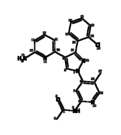 CC(=O)Nc1cc(-n2cc(-c3cccc(N)n3)c(-c3ccccc3Cl)n2)c(C)cn1